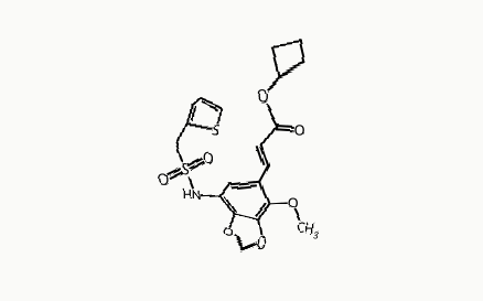 COc1c(/C=C/C(=O)OC2CCC2)cc(NS(=O)(=O)Cc2cccs2)c2c1OCO2